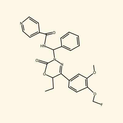 CCC1OC(=O)N(C(NC(=O)c2ccncc2)c2ccccc2)N=C1c1ccc(OCF)c(OC)c1